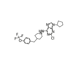 FC(F)(F)Oc1ccc(CC2CCN(Nc3nc(Cl)nc4c3ncn4C3CCCC3)CC2)cc1